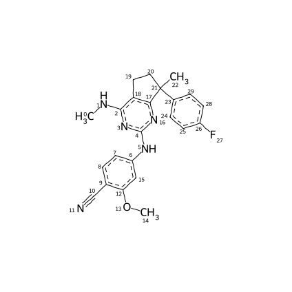 CNc1nc(Nc2ccc(C#N)c(OC)c2)nc2c1CCC2(C)c1ccc(F)cc1